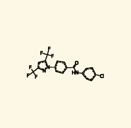 O=C(Nc1ccc(Cl)cc1)c1ccc(-n2nc(C(F)(F)F)cc2C(F)(F)F)cc1